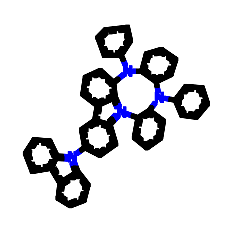 c1ccc(N2c3ccccc3N(c3ccccc3)c3cccc4c5cc(-n6c7ccccc7c7ccccc76)ccc5n(c34)-c3ccccc32)cc1